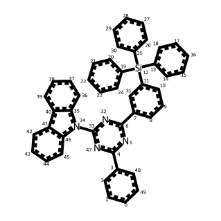 c1ccc(-c2nc(-c3cccc([Si](c4ccccc4)(c4ccccc4)c4ccccc4)c3)nc(-n3c4ccccc4c4ccccc43)n2)cc1